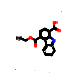 CCOC(=O)c1ccc(C(=O)O)c2c1C1=CC=CCC1=N2